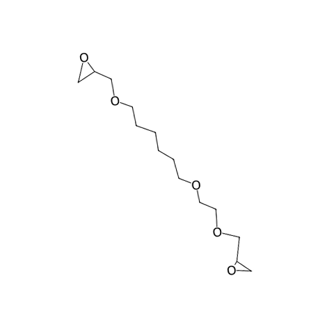 C(CCCOCC1CO1)CCOCCOCC1CO1